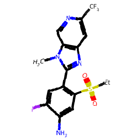 CCS(=O)(=O)c1cc(N)c(I)cc1-c1nc2cc(C(F)(F)F)ncc2n1C